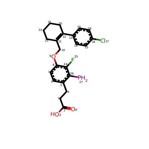 O=C(O)CCc1ccc(OCC2=C(c3ccc(Cl)cc3)CCCC2)c(F)c1P